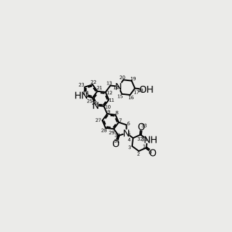 O=C1CCC(N2Cc3cc(-c4cc(CN5CCC(O)CC5)c5cc[nH]c5n4)ccc3C2=O)C(=O)N1